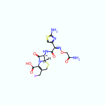 NC(=O)CO/N=C(\C(=O)N[C@@H]1C(=O)N2C(C(=O)O)=C(CI)CS[C@@H]12)c1csc(N)n1